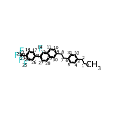 CCCc1ccc(CCc2ccc3c(F)c(-c4ccc(C(F)(F)F)c(F)c4)ccc3c2)cc1